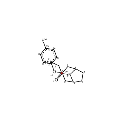 NCC(=O)N1C2CCC1CC(Oc1ccc(F)cc1)C2